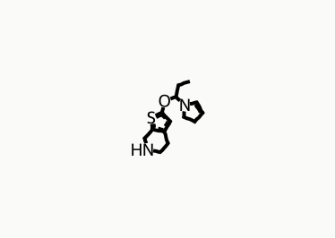 CCC(Oc1cc2c(s1)CNCC2)N1C=CCC1